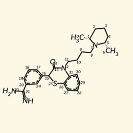 C[C@@H]1CCC[C@H](C)N1CCCCN1C(=O)C(c2cccc(C(=N)N)c2)Sc2ccccc21